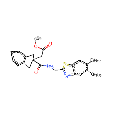 COc1cc2nc(CNC(=O)C3(CC(=O)OC(C)(C)C)Cc4ccccc4C3)sc2cc1OC